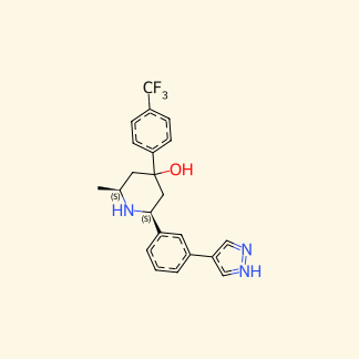 C[C@H]1CC(O)(c2ccc(C(F)(F)F)cc2)C[C@@H](c2cccc(-c3cn[nH]c3)c2)N1